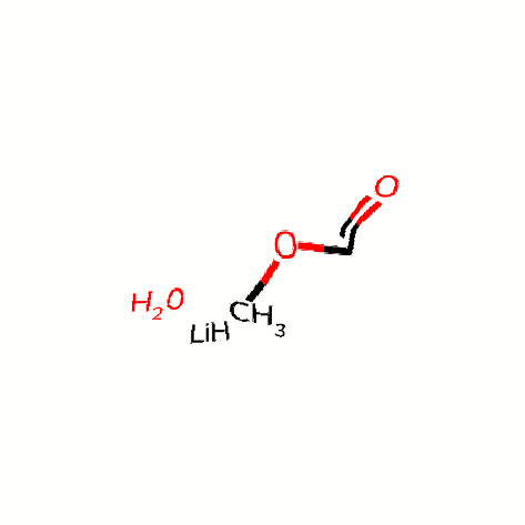 COC=O.O.[LiH]